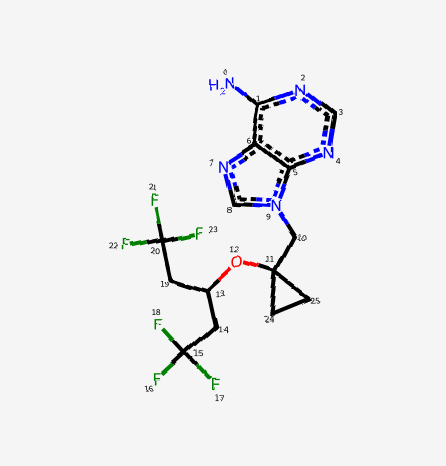 Nc1ncnc2c1ncn2CC1(OC(CC(F)(F)F)CC(F)(F)F)CC1